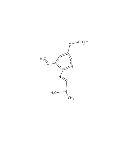 C=Cc1cc(OC(=O)OCC)cnc1N=CN(C)C